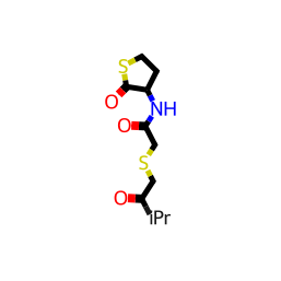 CC(C)C(=O)CSCC(=O)NC1CCSC1=O